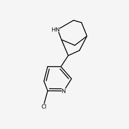 Clc1ccc(C2CC3CCNC2C3)cn1